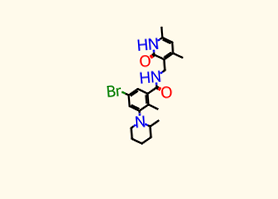 Cc1cc(C)c(CNC(=O)c2cc(Br)cc(N3CCCCC3C)c2C)c(=O)[nH]1